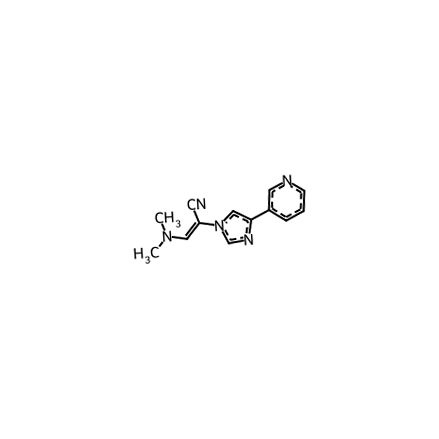 CN(C)C=C(C#N)n1cnc(-c2cccnc2)c1